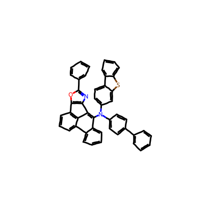 c1ccc(-c2ccc(N(c3ccc4c(c3)sc3ccccc34)c3c4c5c(cccc5c5ccccc35)-c3oc(-c5ccccc5)nc3-4)cc2)cc1